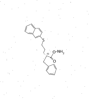 NOC(=O)[C@@H](CCCSc1ccc2ccccc2c1)Cc1ccccc1